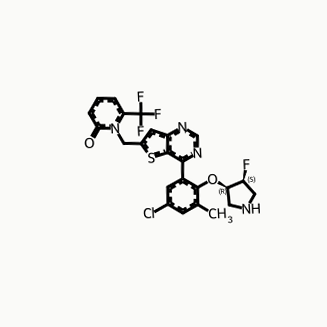 Cc1cc(Cl)cc(-c2ncnc3cc(Cn4c(C(F)(F)F)cccc4=O)sc23)c1O[C@@H]1CNC[C@@H]1F